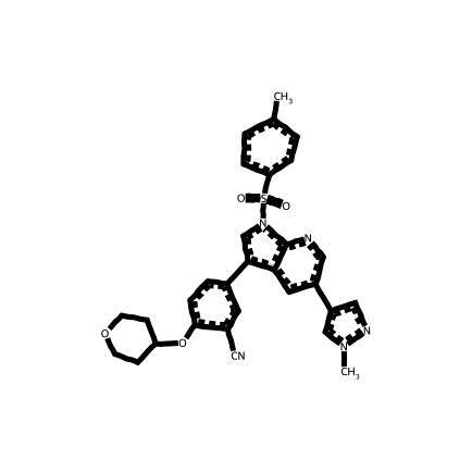 Cc1ccc(S(=O)(=O)n2cc(-c3ccc(OC4CCOCC4)c(C#N)c3)c3cc(-c4cnn(C)c4)cnc32)cc1